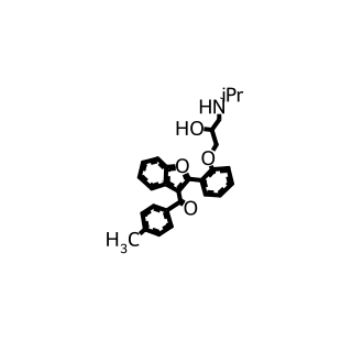 Cc1ccc(C(=O)c2c(-c3ccccc3OCC(O)CNC(C)C)oc3ccccc23)cc1